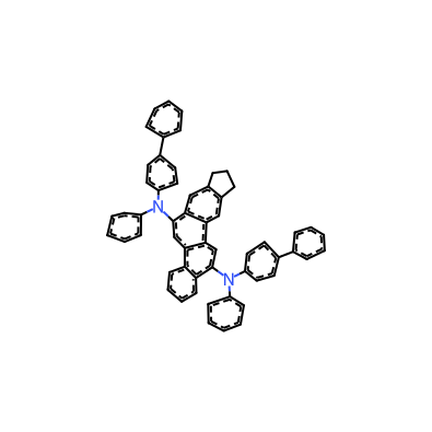 c1ccc(-c2ccc(N(c3ccccc3)c3cc4c5cc6c(cc5c(N(c5ccccc5)c5ccc(-c7ccccc7)cc5)cc4c4ccccc34)CCC6)cc2)cc1